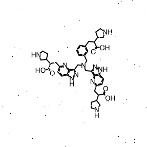 O=C(O)C(Cc1cccc(CN(Cc2n[nH]c3ccc(CC(C(=O)O)C4CCNC4)nc23)Cc2n[nH]c3ccc(CC(C(=O)O)C4CCNC4)nc23)c1)C1CCNC1